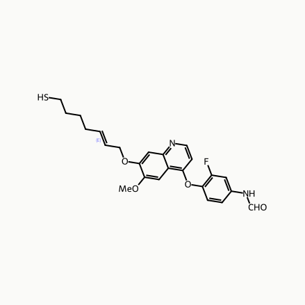 COc1cc2c(Oc3ccc(NC=O)cc3F)ccnc2cc1OC/C=C/CCCCS